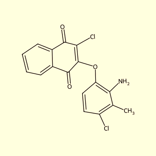 Cc1c(Cl)ccc(OC2=C(Cl)C(=O)c3ccccc3C2=O)c1N